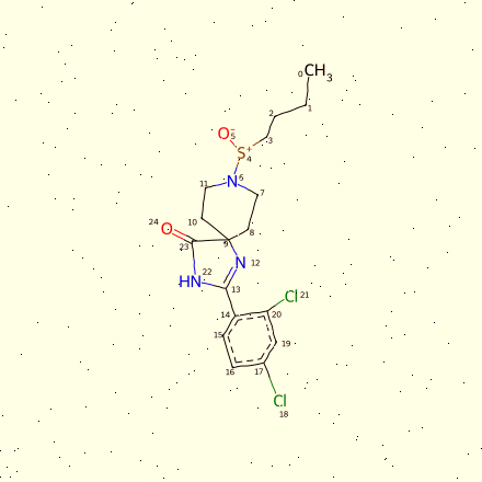 CCCC[S+]([O-])N1CCC2(CC1)N=C(c1ccc(Cl)cc1Cl)NC2=O